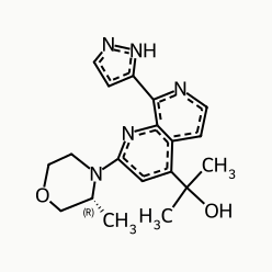 C[C@@H]1COCCN1c1cc(C(C)(C)O)c2ccnc(-c3ccn[nH]3)c2n1